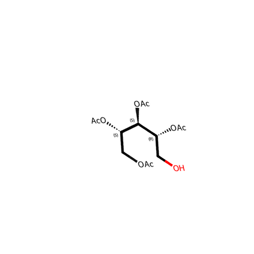 CC(=O)OC[C@H](OC(C)=O)[C@@H](OC(C)=O)[C@@H](CO)OC(C)=O